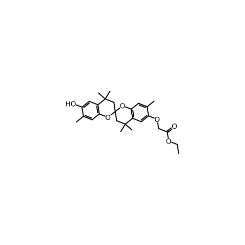 CCOC(=O)COc1cc2c(cc1C)OC1(CC(C)(C)c3cc(O)c(C)cc3O1)CC2(C)C